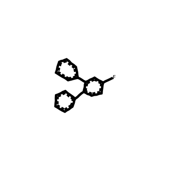 Fc1ccc(-c2ccccc2)c(-c2ccccc2)c1